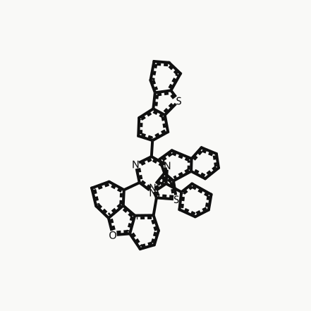 c1ccc(-c2nc(-c3ccc4c(c3)sc3ccccc34)nc(-c3cccc4oc5cccc(-c6nc7ccc8ccccc8c7s6)c5c34)n2)cc1